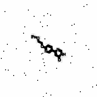 CC(C)OCCOc1ccc(-c2cc(=O)[nH]cn2)cn1